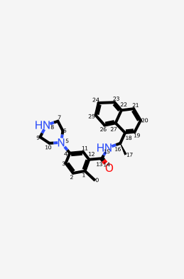 Cc1ccc(N2CCNCC2)cc1C(=O)N[C@H](C)c1cccc2ccccc12